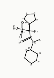 CN(C(=O)C(F)(C1CCCC1)S(=O)(=O)O)C1CCCCC1